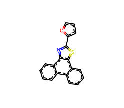 c1coc(-c2nc3c4ccccc4c4ccccc4c3s2)c1